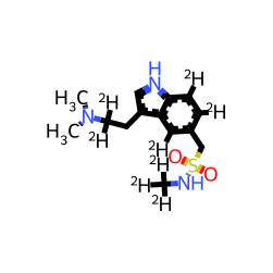 [2H]c1c(CS(=O)(=O)NC([2H])([2H])[2H])c([2H])c2c(CC([2H])([2H])N(C)C)c[nH]c2c1[2H]